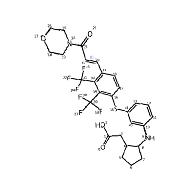 O=C(O)CC1CCCC1Nc1cccc(Sc2ccc(/C=C/C(=O)N3CCOCC3)c(C(F)(F)F)c2C(F)(F)F)c1